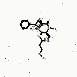 COCCC(C)/N=C(\C(=C/N)N(C)C(=O)N1CC(c2ccccc2)C1)N(C)C=O